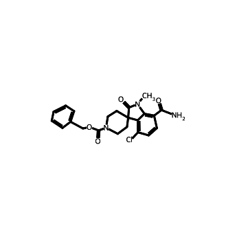 CN1C(=O)C2(CCN(C(=O)OCc3ccccc3)CC2)c2c(Cl)ccc(C(N)=O)c21